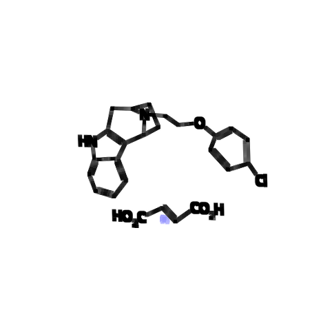 Clc1ccc(OCCN2C3CCC2c2c([nH]c4ccccc24)C3)cc1.O=C(O)/C=C/C(=O)O